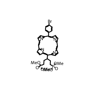 COP(=O)(CCC(CCP(=O)(OC)OC)C1=C2C=CC(=N2)C=C2C=CC(=N2)C(c2ccc(Br)cc2)=C2C=CC(=N2)C=C2C=CC1=N2)OC